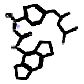 CN(Cc1ccc(/S(N=O)=N\C(=O)Nc2c3c(cc4c2CCC4)CCC3)cc1)CC(F)F